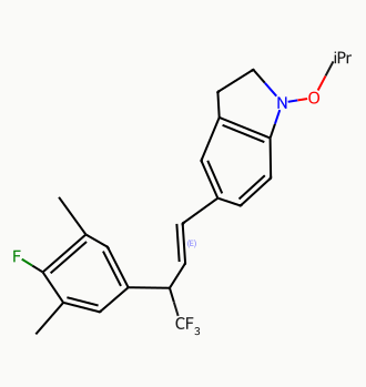 Cc1cc(C(/C=C/c2ccc3c(c2)CCN3OC(C)C)C(F)(F)F)cc(C)c1F